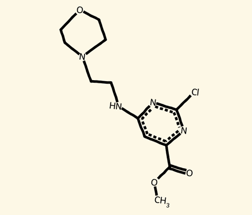 COC(=O)c1cc(NCCN2CCOCC2)nc(Cl)n1